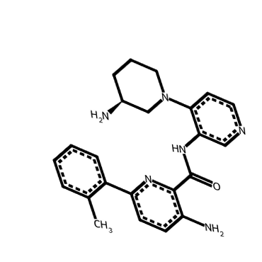 Cc1ccccc1-c1ccc(N)c(C(=O)Nc2cnccc2N2CCC[C@H](N)C2)n1